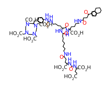 O=C(O)CC[C@H](NC(=O)N[C@@H](CCC(=O)NCCCCCCCC(=O)N[C@@H](CCCCNC(=S)Nc1ccc(CC2CN(CC(=O)O)CCN(CC(=O)O)CCN(CC(=O)O)CCN2CC(=O)O)cc1)C(=O)N[C@@H](CCCCNC(=O)CCC(=O)c1ccc2c(c1)CCCC2)C(=O)O)C(=O)O)C(=O)O